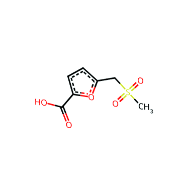 CS(=O)(=O)Cc1ccc(C(=O)O)o1